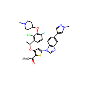 COC(=O)c1sc(-n2cnc3cc(-c4cnn(C)c4)ccc32)cc1OC(C)c1ccc(F)c(OC2CCN(C)CC2)c1Cl